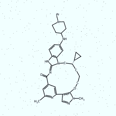 Cc1cc2cc(n1)-c1cnn(C)c1OCCC[C@@H](C1CC1)CN1/C(=N/C2=O)Nc2ccc(NC3CCN(C(C)C)CC3)cc21